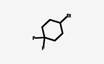 [CH2]CC1CCC(F)(F)CC1